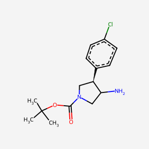 CC(C)(C)OC(=O)N1CC(N)[C@H](c2ccc(Cl)cc2)C1